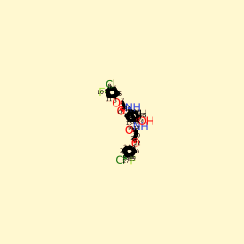 O=C(COc1ccc(Cl)c(F)c1)NC12CCC(NC(=O)CCOc3ccc(Cl)c(F)c3)(CC1)[C@@H](O)C2